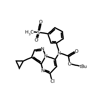 CC(C)(C)OC(=O)N(c1cccc(S(C)(=O)=O)c1)c1cc(Cl)nc2c(C3CC3)cnn12